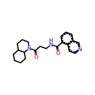 O=C(NCCC(=O)N1CCCC2CCCCC21)c1cccc2cnccc12